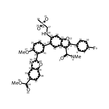 CNC(=O)c1c(-c2ccc(F)cc2)oc2cc(NCS(C)(=O)=O)c(-c3ccc(OC)c(-c4nc5cc(C(=O)OC)ccc5o4)c3)cc12